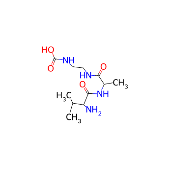 CC(NC(=O)C(N)C(C)C)C(=O)NCCNC(=O)O